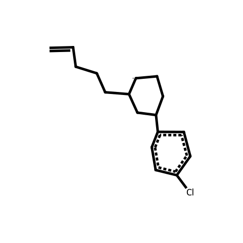 C=CCCCC1[CH]CCC(c2ccc(Cl)cc2)C1